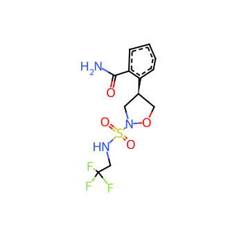 NC(=O)c1ccccc1[C@H]1CON(S(=O)(=O)NCC(F)(F)F)C1